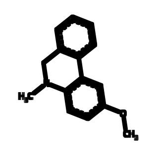 COc1ccc2c(c1)-c1ccccc1CN2C